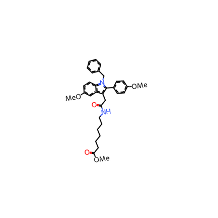 COC(=O)CCCCCCNC(=O)Cc1c(-c2ccc(OC)cc2)n(Cc2ccccc2)c2ccc(OC)cc12